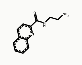 NCCNC(=O)c1ccc2ccccc2n1